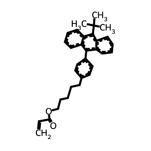 C=CC(=O)OCCCCCc1ccc(-c2c3ccccc3c(C(C)(C)C)c3ccccc23)cc1